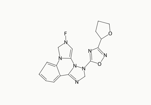 FN1C=C2N(C1)c1ccccc1C1=NCN(c3nc(C4CCCO4)no3)N21